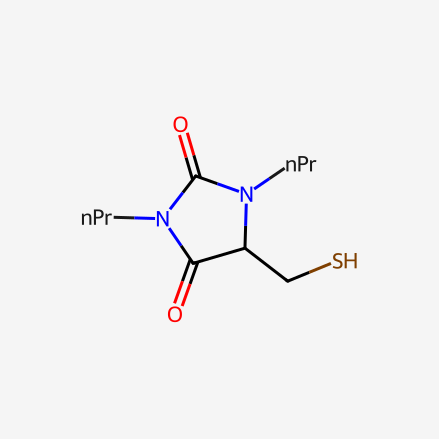 CCCN1C(=O)C(CS)N(CCC)C1=O